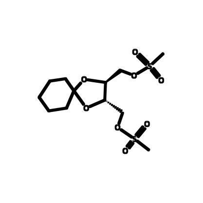 CS(=O)(=O)OC[C@@H]1OC2(CCCCC2)O[C@H]1COS(C)(=O)=O